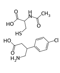 CC(=O)NC(CS)C(=O)O.NCC(CC(=O)O)c1ccc(Cl)cc1